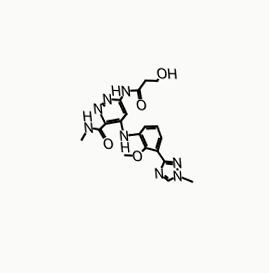 CNC(=O)c1nnc(NC(=O)CCO)cc1Nc1cccc(-c2ncn(C)n2)c1OC